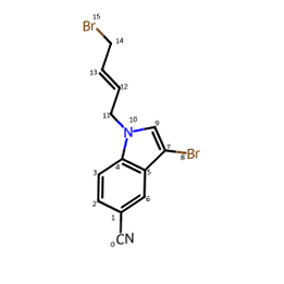 N#Cc1ccc2c(c1)c(Br)cn2C/C=C/CBr